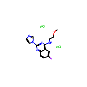 COCCNc1nc(-n2ccnc2)nc2ccc(I)cc12.Cl.Cl